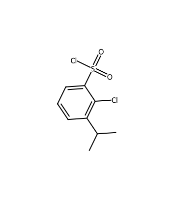 CC(C)c1cccc(S(=O)(=O)Cl)c1Cl